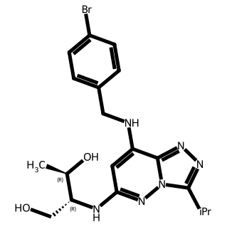 CC(C)c1nnc2c(NCc3ccc(Br)cc3)cc(N[C@H](CO)[C@@H](C)O)nn12